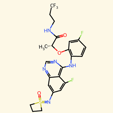 C[C@@H](Oc1cc(F)ccc1Nc1ncnc2cc(N=S3(=O)CCC3)cc(F)c12)C(=O)NCCC(F)(F)F